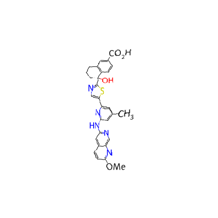 COc1ccc2cc(Nc3cc(C)cc(-c4cnc(C5(O)CCCc6cc(C(=O)O)ccc65)s4)n3)ncc2n1